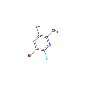 Cc1nc(F)c(Br)cc1C(C)C